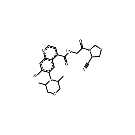 CC1COCC(C)N1c1cc2c(C(=O)NCC(=O)N3CSCC3C#N)ccnc2cc1Br